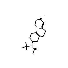 CC(=O)N(C1CCC2=C(CCC3=CC(=O)CCN32)C1)C(C)(C)C